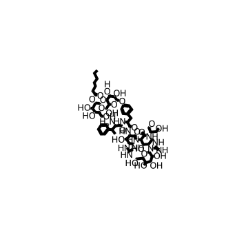 CCCCCCC(=O)OC1C(OC2C(CO)OC(Oc3ccc(CC(NC(=O)C(N)C(C)c4ccccc4)C(=O)NC(C(=O)NC(C(=O)NC([C]=O)CO)C(O)C4CNC(=N)N4C4OC(CO)C(O)C(O)C4O)C(O)C4CNC(=N)N4)cc3)C(O)C2O)OC(CO)C(O)C1O